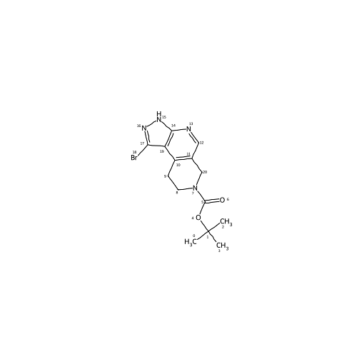 CC(C)(C)OC(=O)N1CCc2c(cnc3[nH]nc(Br)c23)C1